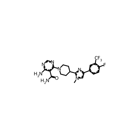 Cn1cc(-c2ccc(F)c(C(F)(F)F)c2)nc1C1CCN(c2ncnc(N)c2C(N)=O)CC1